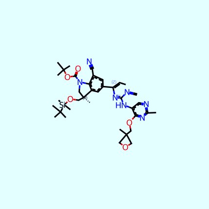 C=N/C(=N\C(=C/C)c1cc(C#N)c2c(c1)[C@@](C)(CO[Si](C)(C)C(C)(C)C)CN2C(=O)OC(C)(C)C)Nc1cnc(C)nc1OCC1(C)COC1